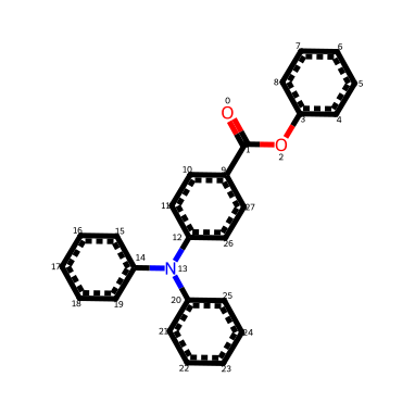 O=C(Oc1ccccc1)c1ccc(N(c2ccccc2)c2ccccc2)cc1